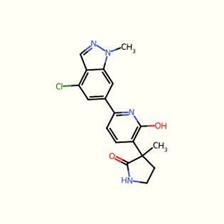 Cn1ncc2c(Cl)cc(-c3ccc(C4(C)CCNC4=O)c(O)n3)cc21